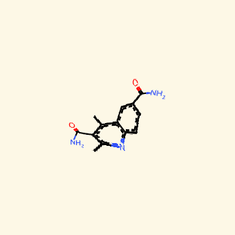 Cc1nc2ccc(C(N)=O)cc2c(C)c1C(N)=O